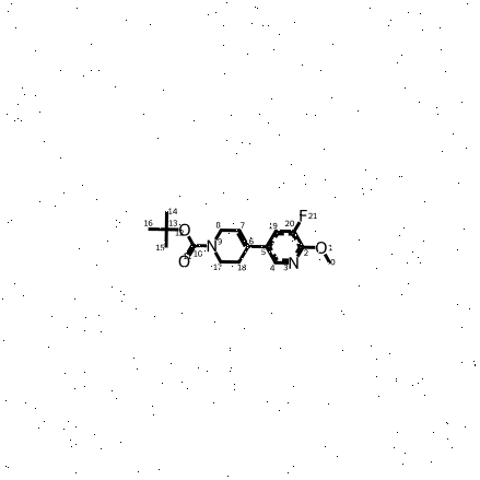 COc1ncc(C2=CCN(C(=O)OC(C)(C)C)CC2)cc1F